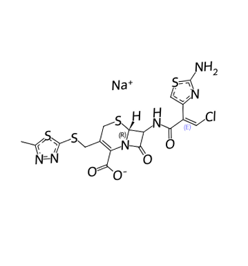 Cc1nnc(SCC2=C(C(=O)[O-])N3C(=O)C(NC(=O)/C(=C/Cl)c4csc(N)n4)[C@H]3SC2)s1.[Na+]